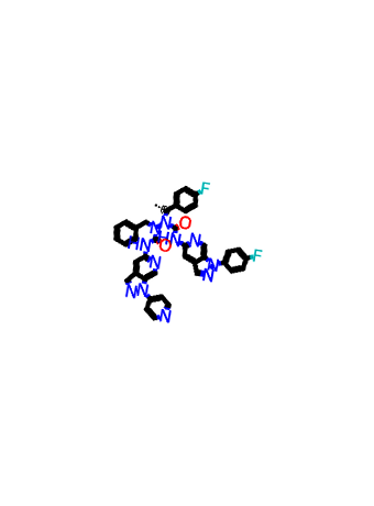 C[C@H](c1ccc(F)cc1)N(C(=O)Nc1cc2cnn(-c3ccc(F)cc3)c2cn1)N(Cc1ccccc1)C(=O)Nc1cc2cnn(-c3ccncc3)c2cn1